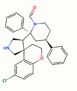 O=CN1CC[C@@H](c2ccccc2)C[C@@]1(c1ccccc1)[C@@H]1CNC[C@]12CCOc1ccc(Cl)cc12